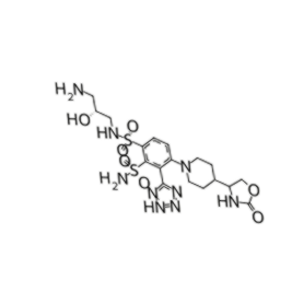 NC[C@@H](O)CNS(=O)(=O)c1ccc(N2CCC(C3COC(=O)N3)CC2)c(-c2nn[nH]n2)c1S(N)(=O)=O